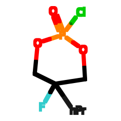 CCCC1(F)COP(=O)(Cl)OC1